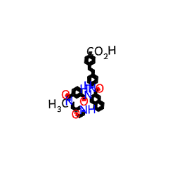 CN(CCC1CNCCO1)C(=O)c1cccc(C(=O)Nc2cc3ccccc3cc2C(=O)Nc2ccc(CCc3ccc(C(=O)O)cc3)cc2)c1